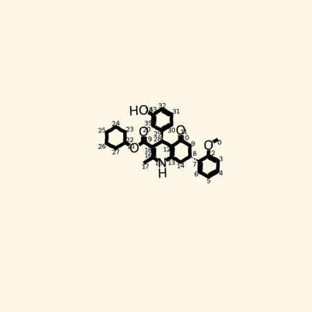 COc1ccccc1[C@H]1CC(=O)C2=C(C1)NC(C)=C(C(=O)OC1CCCCC1)[C@H]2c1cccc(O)c1